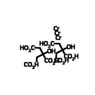 O=C(O)CC(O)(CC(=O)O)C(=O)O.O=C(O)CC(O)(CC(=O)O)C(=O)O.[Cr].[Cr].[Cr]